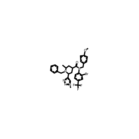 COc1ccc(CN(C(=O)C2CC(C)N(Cc3ccccc3)C(c3cn(C)nn3)C2)c2ccc(C(F)(F)F)cc2Br)cc1